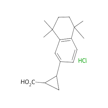 CC1(C)CCC(C)(C)c2cc(C3CC3C(=O)O)ccc21.Cl